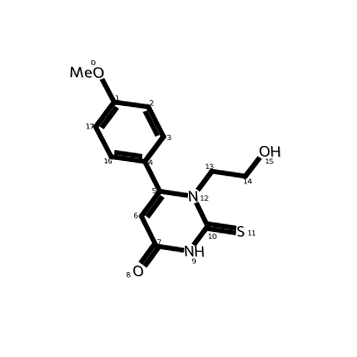 COc1ccc(-c2cc(=O)[nH]c(=S)n2CCO)cc1